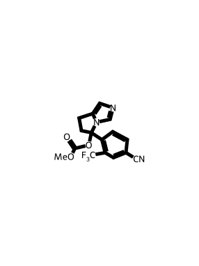 COC(=O)OC1(c2ccc(C#N)cc2C(F)(F)F)CCc2cncn21